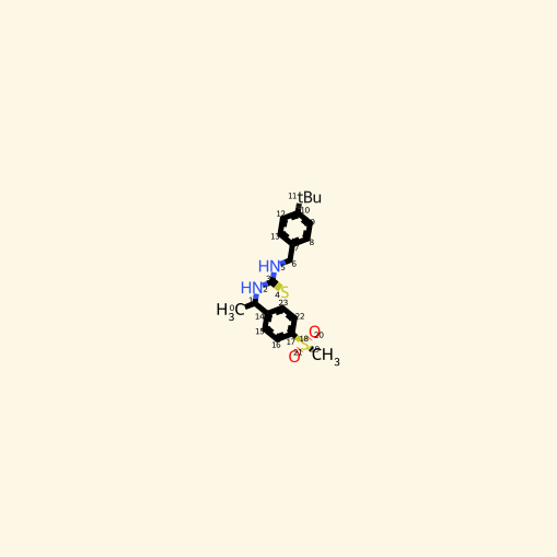 CC(NC(=S)NCc1ccc(C(C)(C)C)cc1)c1ccc(S(C)(=O)=O)cc1